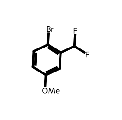 COc1ccc(Br)c(C(F)F)c1